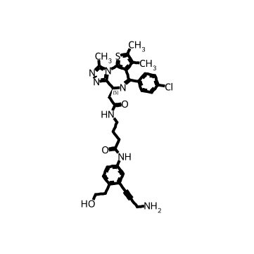 Cc1sc2c(c1C)C(c1ccc(Cl)cc1)=N[C@@H](CC(=O)NCCCC(=O)Nc1ccc(CCO)c(C#CCN)c1)c1nnc(C)n1-2